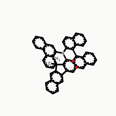 CC1(C)c2cc3ccccc3cc2-c2cccc(N(c3ccc4ccccc4c3-c3cccc4ccccc34)c3cc4ccccc4c4ccccc34)c21